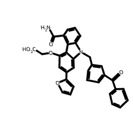 NC(=O)c1cccc2c1c1c(OCC(=O)O)cc(-c3ccco3)cc1n2Cc1cccc(C(=O)c2ccccc2)c1